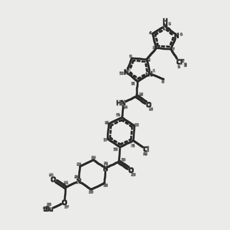 Cn1c(-c2c[nH]nc2C(F)(F)F)cnc1C(=O)Nc1ccc(C(=O)N2CCN(C(=O)OC(C)(C)C)CC2)c(Cl)c1